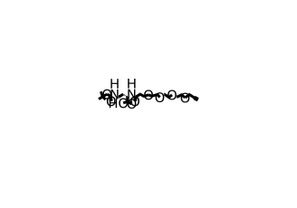 C#CCOCCOCCOCCOCCC(=O)N[C@@H](CCNC(=O)OC(C)(C)C)C(=O)O